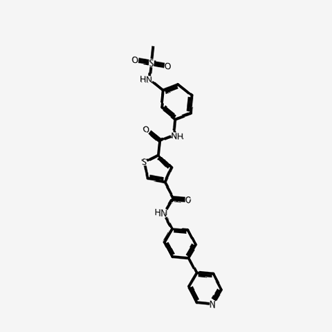 CS(=O)(=O)Nc1cccc(NC(=O)c2cc(C(=O)Nc3ccc(-c4ccncc4)cc3)cs2)c1